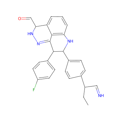 CCC(C=N)c1ccc(C2Nc3cccc4c3C(=NNC4C=O)C2c2ccc(F)cc2)cc1